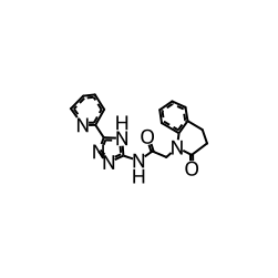 O=C(CN1C(=O)CCc2ccccc21)Nc1nnc(-c2ccccn2)[nH]1